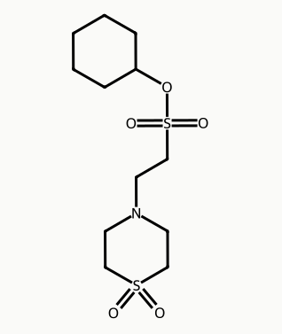 O=S1(=O)CCN(CCS(=O)(=O)OC2CCCCC2)CC1